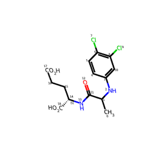 CC(Nc1ccc(Cl)c(Cl)c1)C(=O)N[C@@H](CCC(=O)O)C(=O)O